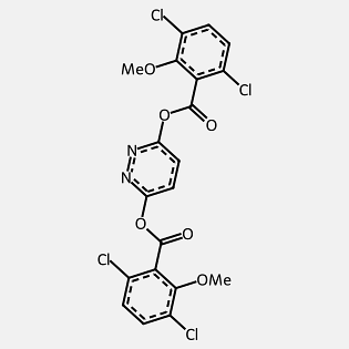 COc1c(Cl)ccc(Cl)c1C(=O)Oc1ccc(OC(=O)c2c(Cl)ccc(Cl)c2OC)nn1